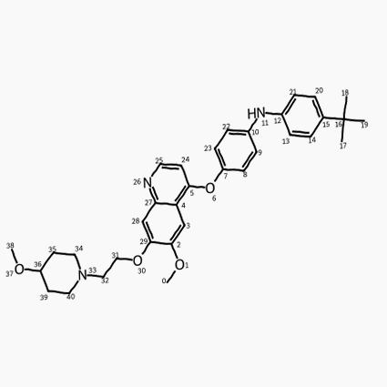 COc1cc2c(Oc3ccc(Nc4ccc(C(C)(C)C)cc4)cc3)ccnc2cc1OCCN1CCC(OC)CC1